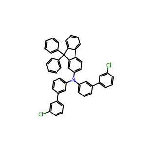 Clc1cccc(-c2cccc(N(c3cccc(-c4cccc(Cl)c4)c3)c3ccc4c(c3)C(c3ccccc3)(c3ccccc3)c3ccccc3-4)c2)c1